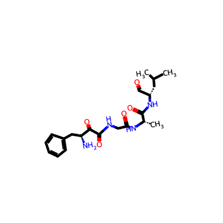 CC(C)C[C@@H](C=O)NC(=O)[C@H](C)NC(=O)CNC(=O)C(=O)[C@@H](N)Cc1ccccc1